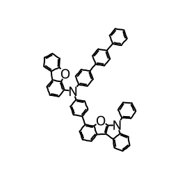 c1ccc(-c2ccc(-c3ccc(N(c4ccc(-c5cccc6c5oc5c6c6ccccc6n5-c5ccccc5)cc4)c4cccc5c4oc4ccccc45)cc3)cc2)cc1